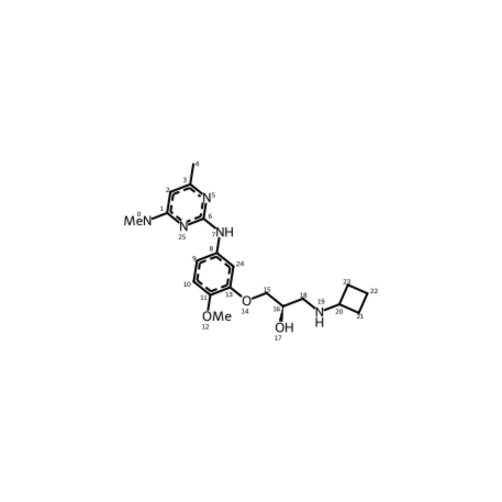 CNc1cc(C)nc(Nc2ccc(OC)c(OC[C@H](O)CNC3CCC3)c2)n1